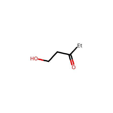 CCC(=O)CCO